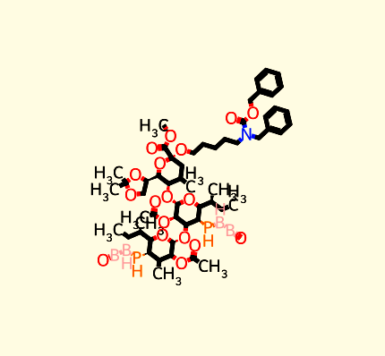 CC[C@H](C)C1O[C@H](OC2[C@H](PBB=O)C([C@@H](C)CC)O[C@H](O[C@@H]3C(C)C[C@](OCCCCCN(Cc4ccccc4)C(=O)OCc4ccccc4)(C(=O)OC)OC3[C@H]3COC(C)(C)O3)[C@@H]2OC(C)=O)C(OC(C)=O)C(C)[C@@H]1PBB=O